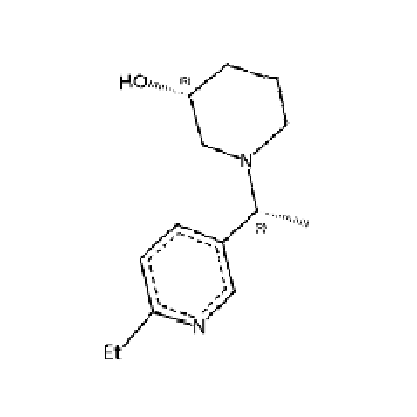 CCc1ccc([C@@H](C)N2CCC[C@@H](O)C2)cn1